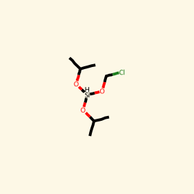 CC(C)O[SiH](OCCl)OC(C)C